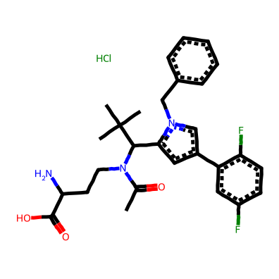 CC(=O)N(CCC(N)C(=O)O)C(c1cc(-c2cc(F)ccc2F)cn1Cc1ccccc1)C(C)(C)C.Cl